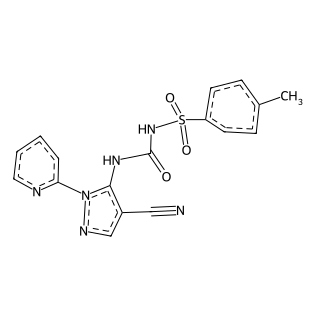 Cc1ccc(S(=O)(=O)NC(=O)Nc2c(C#N)cnn2-c2ccccn2)cc1